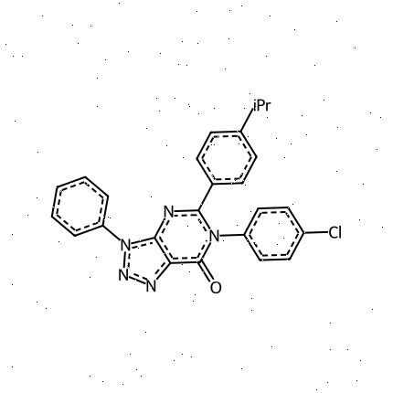 CC(C)c1ccc(-c2nc3c(nnn3-c3ccccc3)c(=O)n2-c2ccc(Cl)cc2)cc1